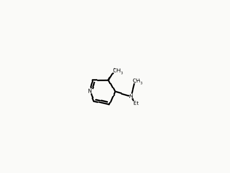 CCN(C)C1C=CN=CC1C